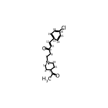 CC(=O)C1CCN(CCC(=O)/C=C/c2ccc(Cl)cc2)CC1